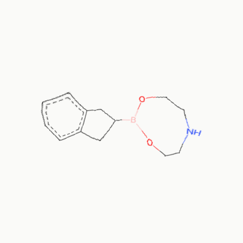 c1ccc2c(c1)CC(B1OCCNCCO1)C2